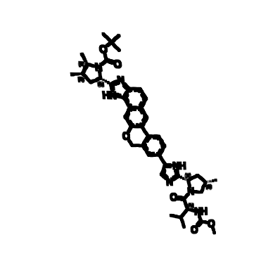 COC(=O)N[C@H](C(=O)N1C[C@@H](C)C[C@H]1c1ncc(-c2ccc3c(c2)COc2cc4c(ccc5nc([C@@H]6C[C@@H](C)[C@@H](C)N6C(=O)OC(C)(C)C)[nH]c54)cc2-3)[nH]1)C(C)C